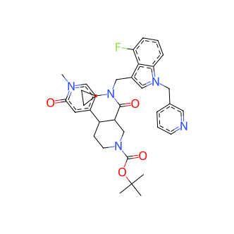 Cn1ccc(C2CCN(C(=O)OC(C)(C)C)CC2C(=O)N(Cc2cn(Cc3cccnc3)c3cccc(F)c23)C2CC2)cc1=O